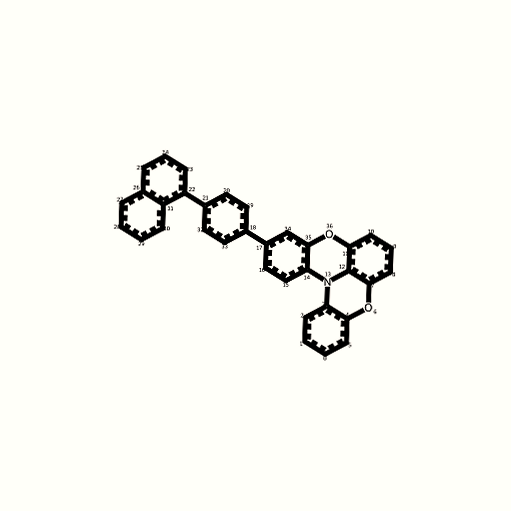 c1ccc2c(c1)Oc1cccc3c1N2c1ccc(-c2ccc(-c4cccc5ccccc45)cc2)cc1O3